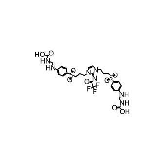 O=C(O)NCNc1ccc(S(=O)(=O)CCCn2ccn(CCCS(=O)(=O)c3ccc(NCNC(=O)O)cc3)c2=NC(=O)C(F)(F)F)cc1